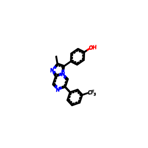 Cc1nc2cnc(-c3cccc(C(F)(F)F)c3)cn2c1-c1ccc(O)cc1